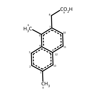 Cc1ccc2c(C)c(CC(=O)O)ccc2c1